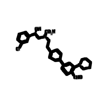 O=Cc1ccc(-c2ccc(CCN(C[C@@H](O)c3cccc(Cl)c3)C(=O)O)cc2)cc1N1CCCCC1